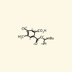 CCCCC(OC(=O)c1cc(C)c(Cl)cc1C(=O)O)C(C)C